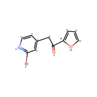 O=C(Cc1ccnc(Br)c1)c1ccco1